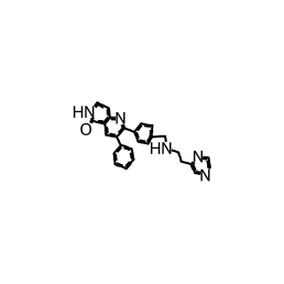 O=c1[nH]ccc2nc(-c3ccc(CNCCc4cnccn4)cc3)c(-c3ccccc3)cc12